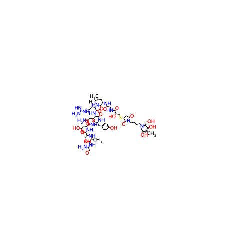 CC(C)CC(NC(=O)CNC(=O)C(O)CSC1CC(=O)N(CCCCN2C[C@@H](O)[C@@H](C)[C@H](O)[C@H]2CO)C1=O)C(=O)NC(CCCNC(=N)N)C(=O)NC(CCC(N)=O)C(=O)NC(Cc1ccc(O)cc1)C(=O)NC(=O)C(CC(=O)O)NC(=O)C(CO)NC(C)C(=O)NC(N)C=O